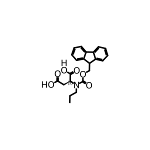 CCCN(C(=O)OCC1c2ccccc2-c2ccccc21)[C@@H](CC(=O)O)C(=O)O